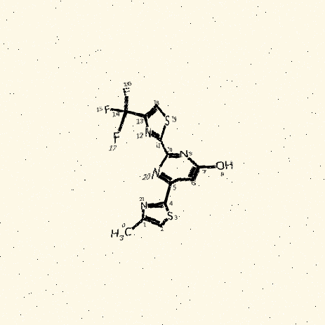 Cc1csc(-c2cc(O)nc(-c3nc(C(F)(F)F)cs3)n2)n1